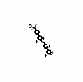 CC/C(F)=C(\F)c1ccc(-c2cc(F)c(CCC3CCC(c4cc(F)c(F)c(F)c4)OC3)c(F)c2)cc1